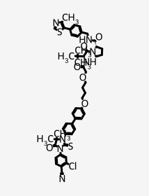 Cc1ncsc1-c1ccc(CNC(=O)[C@@H]2CCCN2C(=O)[C@@H](NC(=O)COCCCCOc2ccc(-c3ccc(N4C(=S)N(c5ccc(C#N)c(Cl)c5)C(=O)C4(C)C)cc3)cc2)C(C)(C)C)cc1